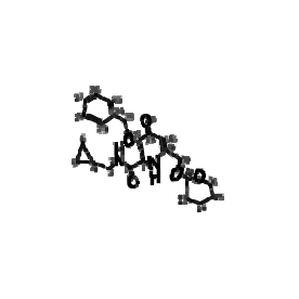 O=C(NCC1CC1)c1[nH]c(COC2CCCCO2)cc(=O)c1OCc1ccccc1